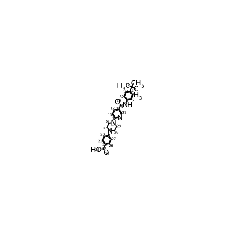 CC(C)(C)c1ccc(NC(=O)c2ccc(N3CCN(c4ccc(C(=O)O)cc4)CC3)nc2)cc1